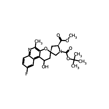 COC(=O)[C@@H]1C[C@]2(CC(O)c3c(c(C)nc4ccc(F)cc34)O2)CN1C(=O)OC(C)(C)C